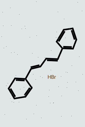 Br.C(/C=C/c1ccccc1)=C\c1ccccc1